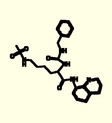 CS(=O)(=O)NCCCCC(NC(=O)NCc1ccccc1)C(=O)Nc1cccc2cccnc12